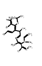 C=CN(C)C(=C(C)\N=C\C(C)C(/C=C/Cl)=C(OC(C)C)/C(Br)=C(\C)F)/C(Cl)=N\C